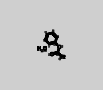 CCC(=O)Oc1ccccc1.O